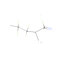 CC(C(=N)F)C(F)(F)C(F)(F)C(F)(F)F